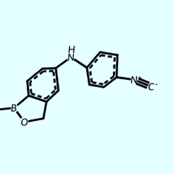 [C-]#[N+]c1ccc(Nc2ccc3c(c2)COB3C)cc1